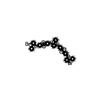 O=S(=O)(c1ccc(Oc2cccc(Br)c2-c2ccccc2)cc1)c1ccc(Oc2cccc(Oc3ccc(S(=O)(=O)c4ccc(Oc5cccc(Br)c5-c5ccccc5)cc4)cc3)c2-c2ccccc2)cc1